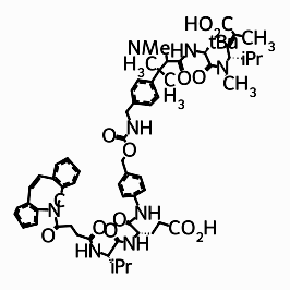 CNC(C(=O)N[C@H](C(=O)N(C)[C@H](/C=C(\C)C(=O)O)C(C)C)C(C)(C)C)C(C)(C)c1ccc(CNC(=O)OCc2ccc(NC(=O)[C@H](CCC(=O)O)NC(=O)[C@@H](NC(=O)CCC(=O)N3Cc4ccccc4/C=C\c4ccccc43)C(C)C)cc2)cc1